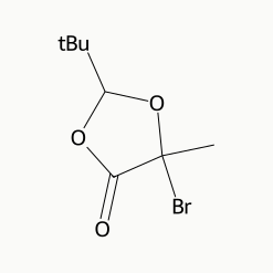 CC1(Br)OC(C(C)(C)C)OC1=O